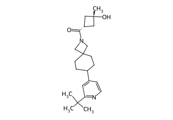 CC(C)(C)c1cc(C2CCC3(CC2)CN(C(=O)[C@H]2C[C@@](C)(O)C2)C3)ccn1